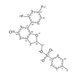 Cc1ccc(S(=O)(=O)OCC2Cc3cc(Cl)cc(-c4ccc(F)cc4F)c3O2)cc1